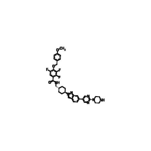 COc1ccc(COc2c(F)cc(C(=O)NC[C@H]3CC[C@H](n4cc5ccc(-c6cnc(N7CCNCC7)nc6)cc5n4)CC3)c(F)c2F)cc1